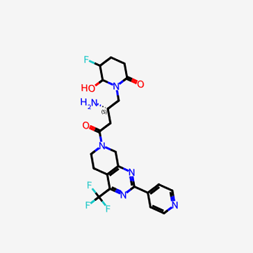 N[C@@H](CC(=O)N1CCc2c(nc(-c3ccncc3)nc2C(F)(F)F)C1)CN1C(=O)CCC(F)C1O